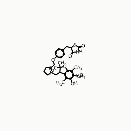 Cc1c(C)c2c(c(C)c1O)C(CN1CCC[C@H]1COc1ccc(CC3SC(=O)NC3=O)cc1)C(C)(C)O2.Cl